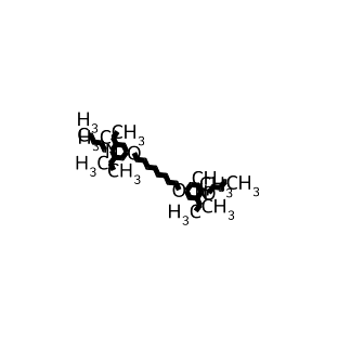 CCCCCN1C(C(C)C)CC(OCCCCCCCCOC2CC(C(C)C)N(OCCCC)C(C)(C)C2)CC1C(C)C